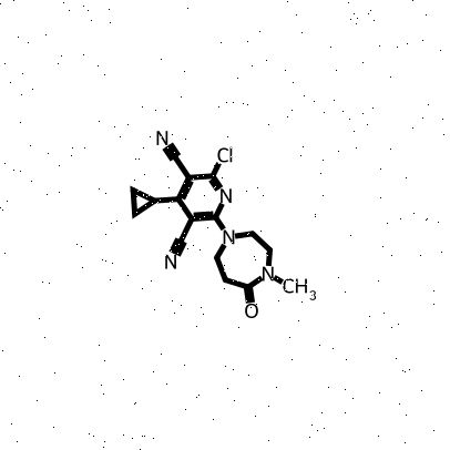 CN1CCN(c2nc(Cl)c(C#N)c(C3CC3)c2C#N)CCC1=O